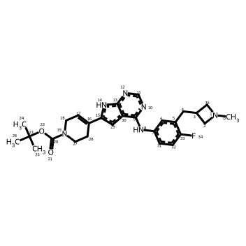 CN1CC(Cc2cc(Nc3ncnc4[nH]c(C5=CCN(C(=O)OC(C)(C)C)CC5)cc34)ccc2F)C1